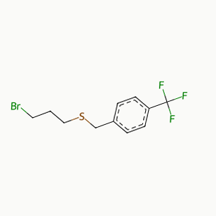 FC(F)(F)c1ccc(CSCCCBr)cc1